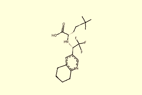 CC(C)(C)CC[C@H](N[C@@H](c1cnc2c(c1)CCCC2)C(F)(F)F)C(=O)O